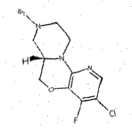 CC(C)N1CCN2c3ncc(Cl)c(F)c3OC[C@@H]2C1